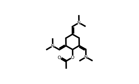 CC(=O)OC1C(=CN(C)C)CC(=CN(C)C)CC1=CN(C)C